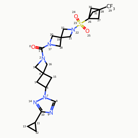 O=C(N1CC2(CC(n3cnc(C4CC4)n3)C2)C1)N1CC2(C1)CN(S(=O)(=O)C13CC(C(F)(F)F)(C1)C3)C2